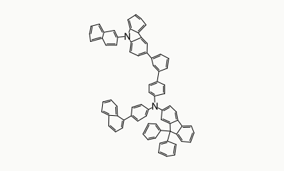 c1ccc(C2(c3ccccc3)c3ccccc3-c3ccc(N(c4ccc(-c5cccc(-c6ccc7c(c6)c6ccccc6n7-c6ccc7ccccc7c6)c5)cc4)c4ccc(-c5cccc6ccccc56)cc4)cc32)cc1